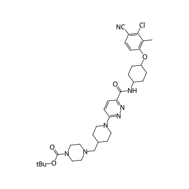 Cc1c(OC2CCC(NC(=O)c3ccc(N4CCC(CN5CCN(C(=O)OC(C)(C)C)CC5)CC4)nn3)CC2)ccc(C#N)c1Cl